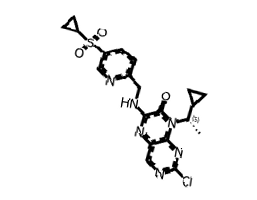 C[C@@H](C1CC1)n1c(=O)c(NCc2ccc(S(=O)(=O)C3CC3)cn2)nc2cnc(Cl)nc21